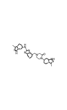 Cc1n[nH]c2cc(Nc3nc4cccc(CN5CCN(c6ccc7c(C)n[nH]c7c6)C(=O)C5)n4n3)ccc12